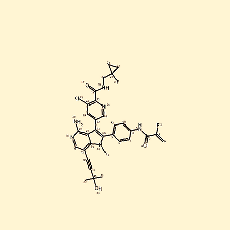 C=C(F)C(=O)Nc1ccc(-c2c(-c3cnc(C(=O)NCC4(F)CC4)c(Cl)c3)c3c(N)ncc(C#CC(C)(C)O)c3n2C)cc1